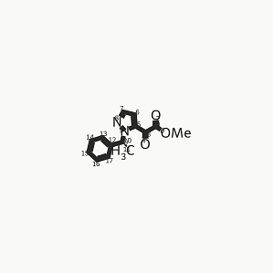 COC(=O)C(=O)c1ccnn1[C@H](C)c1ccccc1